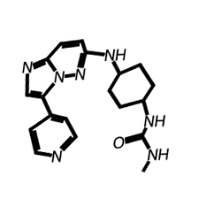 CNC(=O)NC1CCC(Nc2ccc3ncc(-c4ccncc4)n3n2)CC1